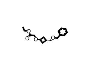 CCOC(=O)CO[C@H]1C[C@H](COCc2ccccc2)C1